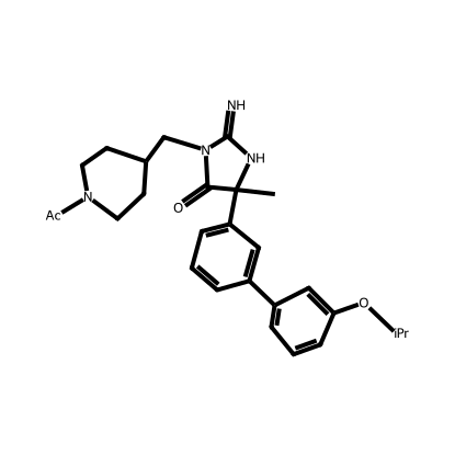 CC(=O)N1CCC(CN2C(=N)NC(C)(c3cccc(-c4cccc(OC(C)C)c4)c3)C2=O)CC1